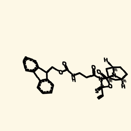 C=CCOC(=O)N1[C@@H]2CC[C@H]1C[C@H](N(P=S)C(=O)CCNC(=O)OCC1c3ccccc3-c3ccccc31)C2